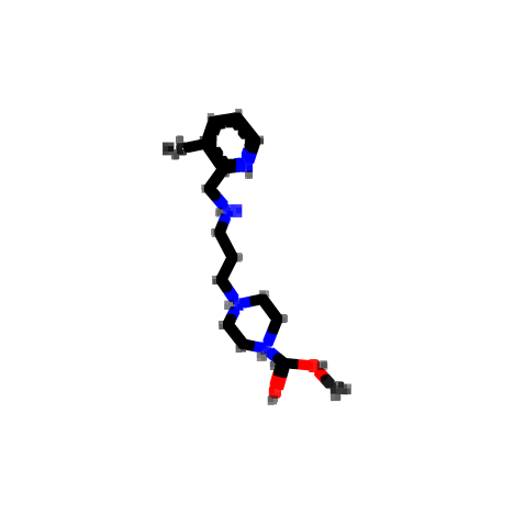 Cc1cccnc1CNCCCN1CCN(C(=O)OC(C)(C)C)CC1